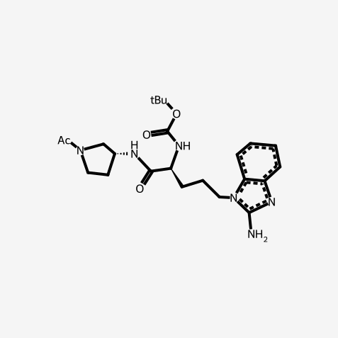 CC(=O)N1CC[C@@H](NC(=O)[C@H](CCCn2c(N)nc3ccccc32)NC(=O)OC(C)(C)C)C1